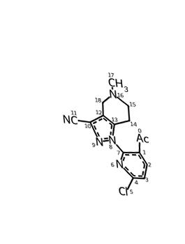 CC(=O)c1ccc(Cl)nc1-n1nc(C#N)c2c1CCN(C)C2